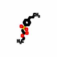 CCCc1ccc(S(=O)(=O)CC(=O)OCC)cc1